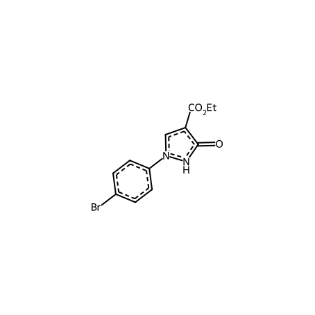 CCOC(=O)c1cn(-c2ccc(Br)cc2)[nH]c1=O